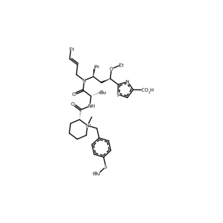 CCC=CCN(C(=O)[C@@H](NC(=O)[C@H]1CCCC[N+]1(C)Cc1ccc(SC(C)(C)C)cc1)C(C)CC)[C@H](C[C@@H](OCC)c1nc(C(=O)O)cs1)C(C)C